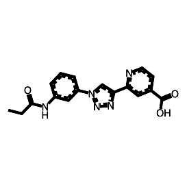 CCC(=O)Nc1cccc(-n2cc(-c3cc(C(=O)O)ccn3)nn2)c1